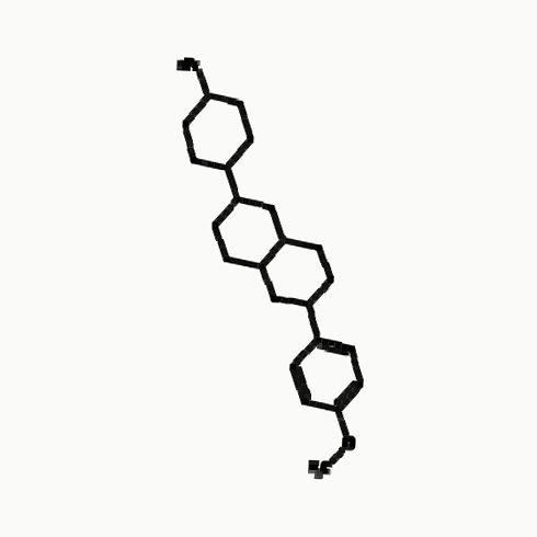 CCCC1CCC(C2CCC3CC(c4ccc(OC(F)(F)F)cc4)CCC3C2)CC1